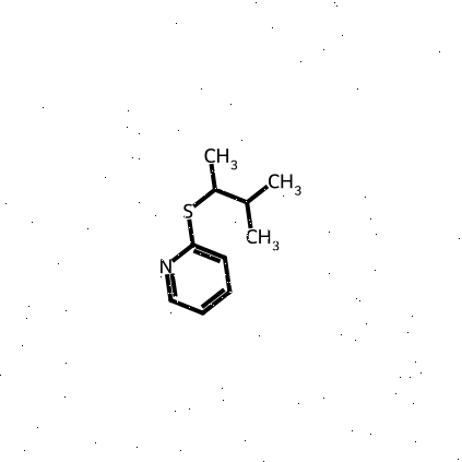 CC(C)C(C)Sc1ccccn1